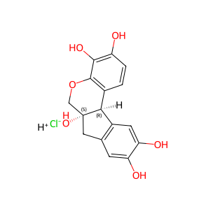 Oc1cc2c(cc1O)[C@@H]1c3ccc(O)c(O)c3OC[C@]1(O)C2.[Cl-].[H+]